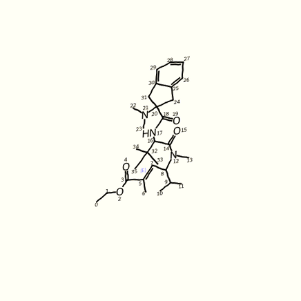 CCOC(=O)/C(C)=C/C(C(C)C)N(C)C(=O)C(NC(=O)C1(N(C)C)Cc2ccccc2C1)C(C)(C)C